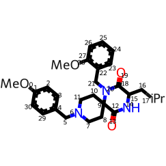 COc1ccc(CN2CCC3(CC2)C(=O)NC(CC(C)C)C(=O)N3Cc2ccccc2OC)cc1